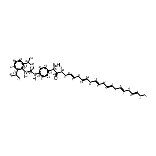 CC/C=C/C/C=C/C/C=C/C/C=C/C/C=C/C/C=C/CCC(=O)C(N)c1ccc(NC(=O)Nc2c(C(C)C)cccc2C(C)C)cc1